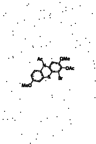 COc1ccc2c(c1)Sc1c(cc(OC)c(OC(C)=O)c1Br)N2C(C)=O